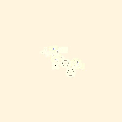 CC(C)Sc1nnc(O)c2c1nc(CC(C)(C)C)n2Cc1ccc(-c2ccccc2-c2nnn[nH]2)cc1